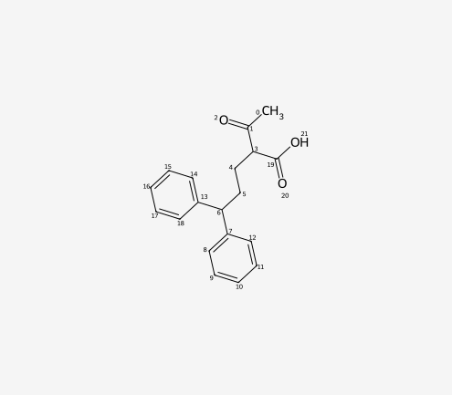 CC(=O)C(CCC(c1ccccc1)c1ccccc1)C(=O)O